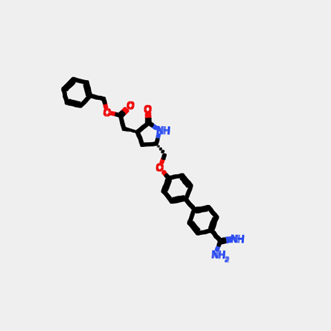 N=C(N)c1ccc(-c2ccc(OC[C@@H]3C[C@@H](CC(=O)OCc4ccccc4)C(=O)N3)cc2)cc1